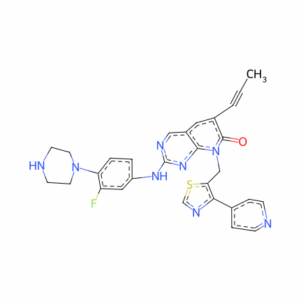 CC#Cc1cc2cnc(Nc3ccc(N4CCNCC4)c(F)c3)nc2n(Cc2scnc2-c2ccncc2)c1=O